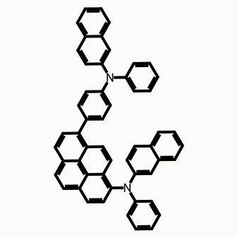 c1ccc(N(c2ccc(-c3ccc4ccc5ccc(N(c6ccccc6)c6ccc7ccccc7c6)c6ccc3c4c56)cc2)c2ccc3ccccc3c2)cc1